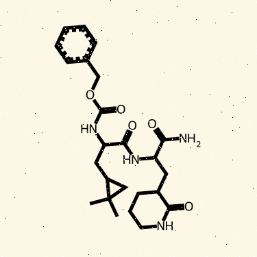 CC1(C)CC1CC(NC(=O)OCc1ccccc1)C(=O)NC(CC1CCCNC1=O)C(N)=O